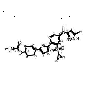 Cc1cc(Nc2ccc(-c3ccc(C4=CCC(OC(N)=O)CC4)s3)c(S(=O)(=O)C3CC3)c2)n[nH]1